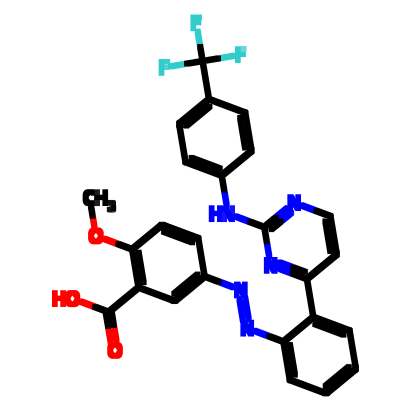 COc1ccc(N=Nc2ccccc2-c2ccnc(Nc3ccc(C(F)(F)F)cc3)n2)cc1C(=O)O